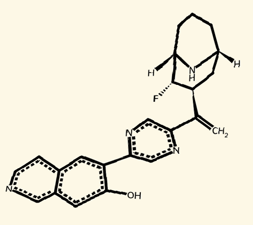 C=C(c1cnc(-c2cc3ccncc3cc2O)cn1)[C@@H]1C[C@H]2CCC[C@H](N2)[C@H]1F